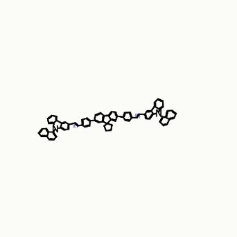 C(=C\c1ccc2c(c1)c1ccccc1n2-c1cccc2ccccc12)/c1ccc(-c2ccc3c(c2)C2(CCCC2)c2cc(-c4ccc(/C=C/c5ccc6c(c5)c5ccccc5n6-c5cccc6ccccc56)cc4)ccc2-3)cc1